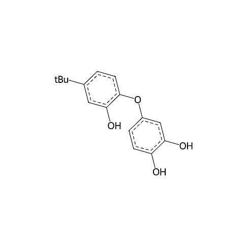 CC(C)(C)c1ccc(Oc2ccc(O)c(O)c2)c(O)c1